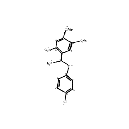 COc1cc(C(C)Oc2ccc(Cl)cc2)c([N+](=O)[O-])cc1OC